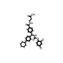 O=C(O)CCNC(=O)c1ccc(C(NC(=O)Oc2ccc(Cl)cc2Cl)c2ccc(C3CCCCC3)cc2)cc1